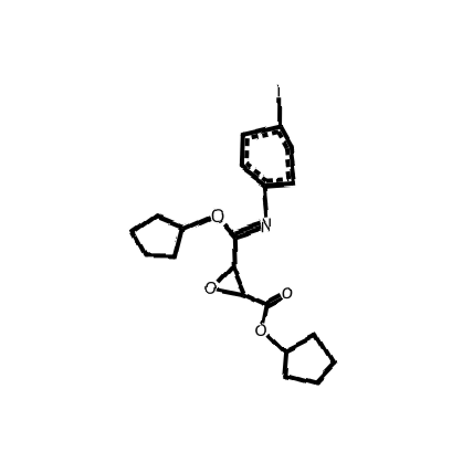 O=C(OC1CCCC1)C1OC1C(=Nc1ccc(I)cc1)OC1CCCC1